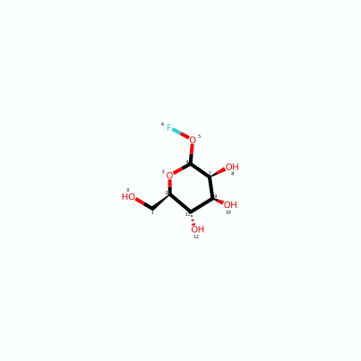 OC[C@H]1OC(OF)[C@@H](O)[C@@H](O)[C@@H]1O